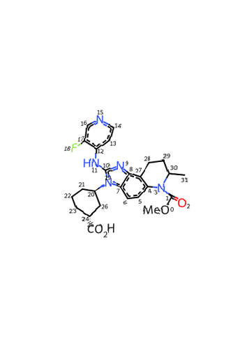 COC(=O)N1c2ccc3c(nc(Nc4ccncc4F)n3[C@@H]3CCC[C@@H](C(=O)O)C3)c2CCC1C